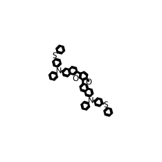 c1ccc(Sc2ccc(N(c3ccccc3)c3ccc4c(ccc5c6ccc7oc8c9ccc(N(c%10ccccc%10)c%10ccc(Sc%11ccccc%11)cc%10)cc9ccc8c7c6oc45)c3)cc2)cc1